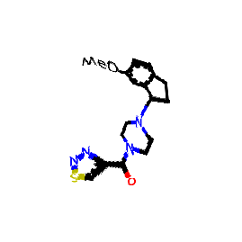 COc1ccc2c(c1)C(N1CCN(C(=O)c3csnn3)CC1)CC2